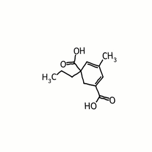 CCCC1(C(=O)O)C=C(C)C=C(C(=O)O)C1